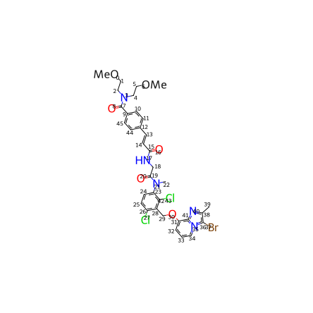 COCCN(CCOC)C(=O)c1ccc(C=CC(=O)NCC(=O)N(C)c2ccc(Cl)c(COc3cccn4c(Br)c(C)nc34)c2Cl)cc1